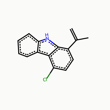 C=C(C)c1ccc(Cl)c2c1[nH]c1ccccc12